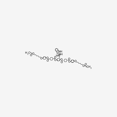 C=CC(=O)OCCCCCCOC1=CC=C(OC(=O)C2CCC(C(=O)OC3=CC=C(OC(=O)[C@H]4CC[C@H](C(=O)Oc5ccc(OCCCCCCOC(=O)C=C)cc5)CC4)C(CNNC4Nc5ccccc5S4)C3)CC2)CC1